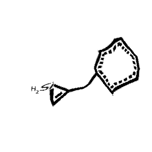 [C]1=C(c2[c]cccc2)[SiH2]1